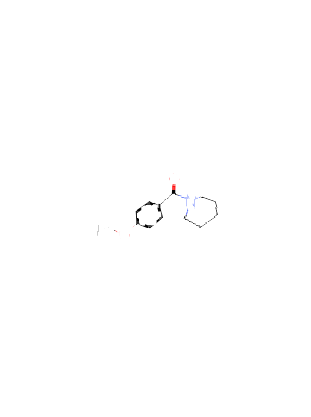 CC(C)Oc1ccc(C(=O)N2CCCCC2)cc1